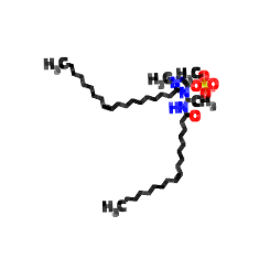 CCCCCCCC/C=C\CCCCCCCCc1n(C(C)NC(=O)CCCCCCC/C=C\CCCCCCCC)cc[n+]1C.COS(=O)(=O)[O-]